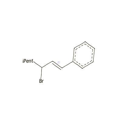 CCCC(C)C(Br)/C=C/c1ccccc1